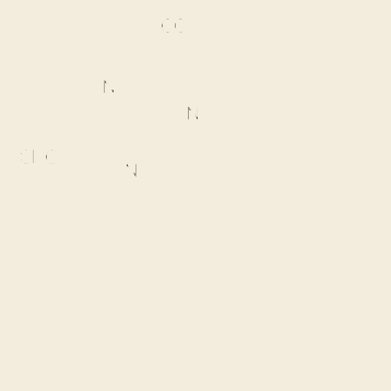 Cc1ccc(C=Cc2nc(C(Cl)(Cl)Cl)nc(C(Cl)(Cl)Cl)n2)cc1